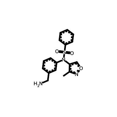 Cc1nocc1N(c1cccc(CN)c1)S(=O)(=O)c1ccccc1